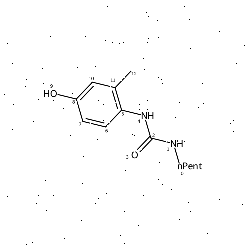 CCCCCNC(=O)Nc1ccc(O)cc1C